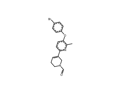 Cc1nc(C2=CCCN(C=O)C2)ccc1Oc1ccc(Br)cc1